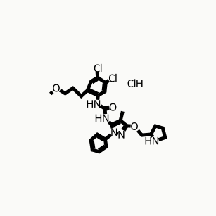 COCCCc1cc(Cl)c(Cl)cc1NC(=O)Nc1c(C)c(OCC2CCCN2)nn1-c1ccccc1.Cl